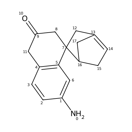 Nc1ccc2c(c1)C1(CC(=O)C2)CC2=CCC1C2